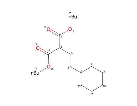 CCCCOC(=O)C(CCC1CCCCC1)C(=O)OCCCC